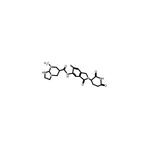 CN1CC(C(=O)Nc2cc3c(cc2I)CN(C2CCC(=O)NC2=O)C3=O)CN2CCNC12